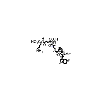 CN[C@H](C(=O)NC(C(=O)N(C)C/C=C(\C)C(=O)N[C@H](CCC(=O)N[C@@H](CCCCN)C(=O)O)C(=O)O)C(C)(C)C)C(C)(C)c1cn(C)c2ccc(F)cc12